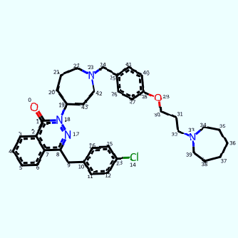 O=c1c2ccccc2c(Cc2ccc(Cl)cc2)nn1C1CCCN(Cc2ccc(OCCCN3CCCCCC3)cc2)CC1